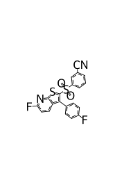 N#Cc1cccc(S(=O)(=O)c2sc3nc(F)ccc3c2-c2ccc(F)cc2)c1